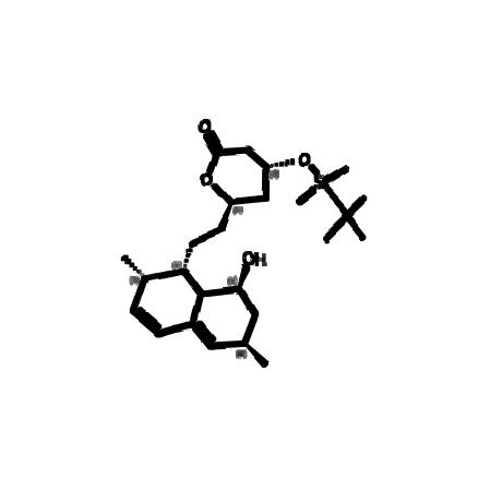 C[C@H]1C=C2C=C[C@H](C)[C@H](CC[C@@H]3C[C@@H](O[Si](C)(C)C(C)(C)C)CC(=O)O3)C2[C@@H](O)C1